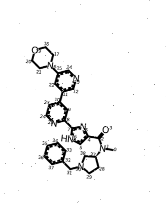 CN(C(=O)c1c[nH]c(-c2cc(-c3cncc(N4CCOCC4)c3)ccn2)n1)[C@H]1CCN(Cc2ccccc2)C1